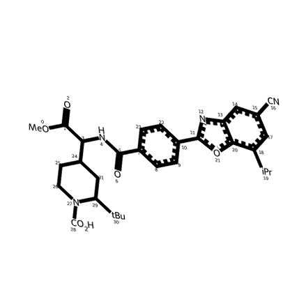 COC(=O)C(NC(=O)c1ccc(-c2nc3cc(C#N)cc(C(C)C)c3o2)cc1)C1CCN(C(=O)O)C(C(C)(C)C)C1